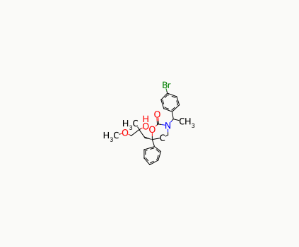 COCC(C)(O)C[C@]1(c2ccccc2)CCN(C(C)c2ccc(Br)cc2)C(=O)O1